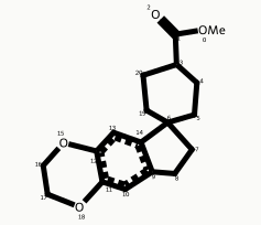 COC(=O)C1CCC2(CCc3cc4c(cc32)OCCO4)CC1